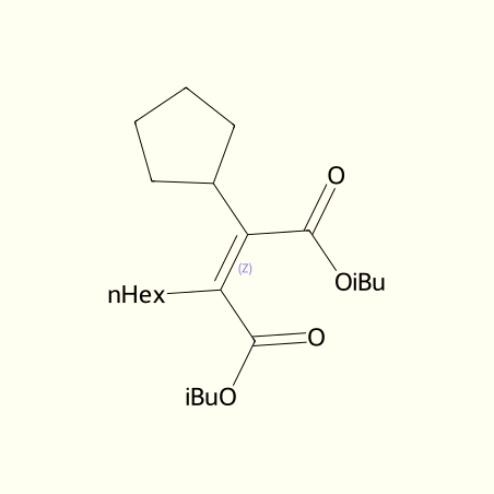 CCCCCC/C(C(=O)OCC(C)C)=C(/C(=O)OCC(C)C)C1CCCC1